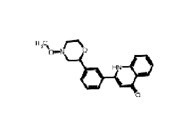 CON1CCOC(c2cccc(-c3cc(=O)c4ccccc4[nH]3)c2)C1